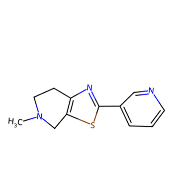 CN1CCc2nc(-c3cccnc3)sc2C1